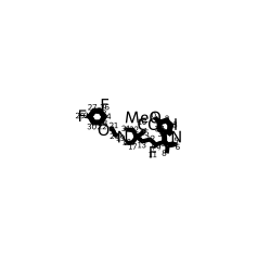 COc1ccc2ncc(C)c([C@H](F)CCC3(CC(=O)O)CCN(CCOc4cc(F)cc(F)c4)CC3)c2c1